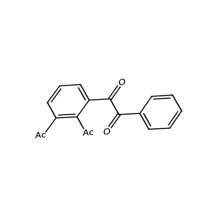 CC(=O)c1cccc(C(=O)C(=O)c2ccccc2)c1C(C)=O